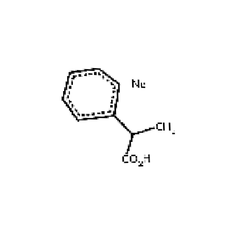 CC(C(=O)O)c1ccccc1.[Ne]